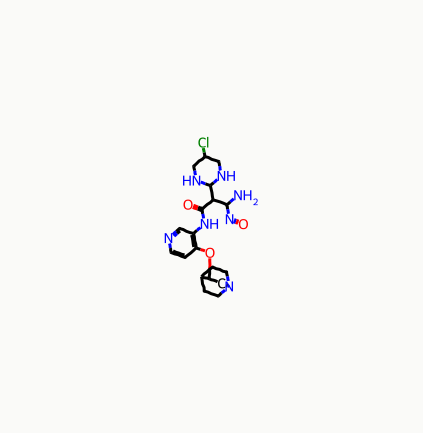 NC(N=O)C(C(=O)Nc1cnccc1OC1CN2CCC1CC2)C1NCC(Cl)CN1